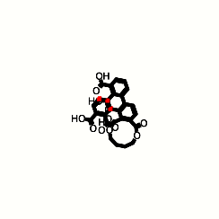 O=C(O)c1cccc(-c2ccc3c(c2-c2cccc(C(=O)O)c2C(=O)O)C(=O)OCCCCOC3=O)c1C(=O)O